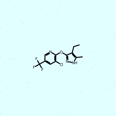 CCc1c(Oc2ncc(C(F)(F)F)cc2Cl)n[nH]c1C